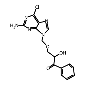 Nc1nc(Cl)c2ncn(COCC(O)C(=O)c3ccccc3)c2n1